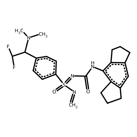 C=NS(=O)(=NC(=O)Nc1c2c(cc3c1CCC3)CCC2)c1ccc(C(C(F)F)N(C)C)cc1